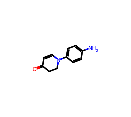 Nc1ccc(N2C=CC(=O)CC2)cc1